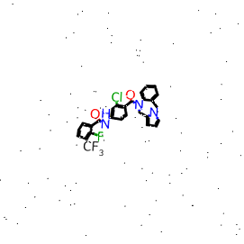 O=C(Nc1ccc(C(=O)N2Cc3cccn3Cc3ccccc32)c(Cl)c1)c1cccc(C(F)(F)F)c1F